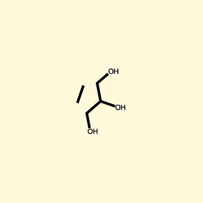 CC.OCC(O)CO